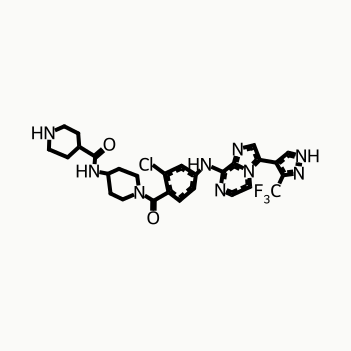 O=C(NC1CCN(C(=O)c2ccc(Nc3nccn4c(-c5c[nH]nc5C(F)(F)F)cnc34)cc2Cl)CC1)C1CCNCC1